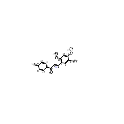 CCCc1cc(/C=C/C(=O)C2C=CC(=S)C=C2)c(OCC)cc1OCC